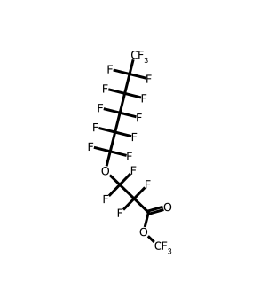 O=C(OC(F)(F)F)C(F)(F)C(F)(F)OC(F)(F)C(F)(F)C(F)(F)C(F)(F)C(F)(F)C(F)(F)F